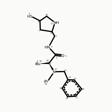 CC[C@H](C)[C@@H](C(=O)NCC1CC(S)CN1)N(Cc1ccccc1)C(C)C